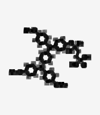 CCC(CC)(CCP(=O)(O)O)Oc1ccc(N(c2ccc(OC)cc2)c2ccc(N(c3ccc(OC)cc3)c3ccc(OC)cc3)cc2)cc1